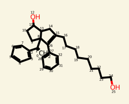 C=C(c1ccccc1)C12CCC(O)C1CC(CCCCCCCCCO)=C2c1ccccc1